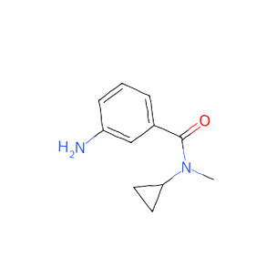 CN(C(=O)c1cccc(N)c1)C1CC1